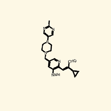 CNc1cc(CN2CCN(c3cnc(C)nc3)CC2)cnc1/C=C(\C=O)C1CC1